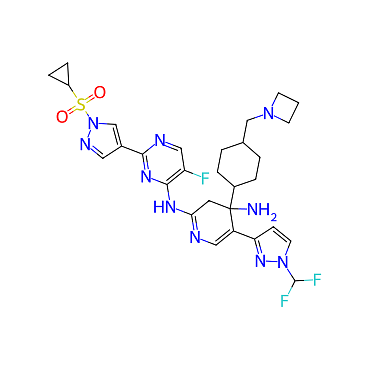 NC1(C2CCC(CN3CCC3)CC2)CC(Nc2nc(-c3cnn(S(=O)(=O)C4CC4)c3)ncc2F)=NC=C1c1ccn(C(F)F)n1